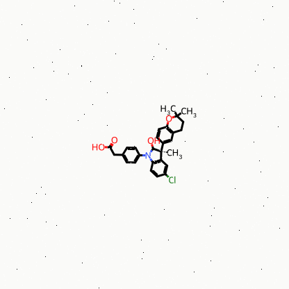 CC1(C)CCc2cc([C@@]3(C)c4cc(Cl)ccc4N(c4ccc(CC(=O)O)cc4)C3O)ccc2O1